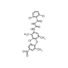 Cc1cc([N+](=O)[O-])cnc1Oc1c(C)cc(NC(=O)NC(=O)c2c(Cl)cccc2Cl)c(C)c1Cl